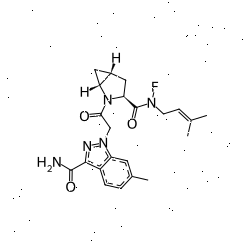 CC(C)=CCN(F)C(=O)[C@@H]1C[C@H]2C[C@H]2N1C(=O)Cn1nc(C(N)=O)c2ccc(C)cc21